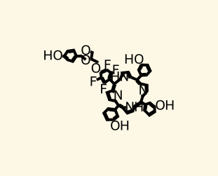 Oc1ccc(C2OCC(COc3c(F)c(F)c(-c4c5nc(c(-c6cccc(O)c6)c6ccc([nH]6)c(-c6cccc(O)c6)c6nc(c(-c7cccc(O)c7)c7ccc4[nH]7)C=C6)C=C5)c(F)c3F)O2)cc1